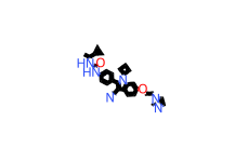 CC(NC(=O)Nc1ccc(-c2c(C#N)c3ccc(OCCn4ccnc4)cc3n2C2CCC2)cc1)C1CC1